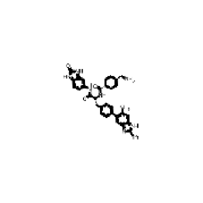 Cc1cc2[nH]c(C(C)C)nc2cc1-c1ccc(C[C@@H](NC(=O)[C@H]2CC[C@H](CN)CC2)C(=O)Nc2ccc3[nH]c(=O)[nH]c3c2)cc1